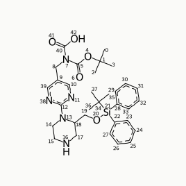 CC(C)(C)OC(=O)N(Cc1cnc(N2CCNCC2CO[Si](c2ccccc2)(c2ccccc2)C(C)(C)C)nc1)C(=O)O